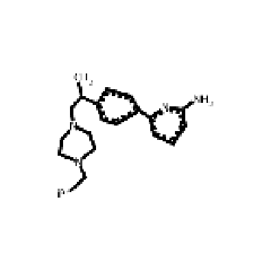 CC(C)CN1CCN(CC(C)c2ccc(-c3cccc(N)n3)cc2)CC1